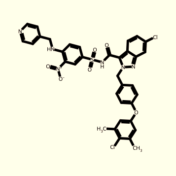 Cc1cc(Oc2ccc(Cn3nc4cc(Cl)ccc4c3C(=O)NS(=O)(=O)c3ccc(NCc4ccncc4)c([N+](=O)[O-])c3)cc2)cc(C)c1Cl